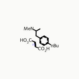 CCCCc1ccc(CC(C)NC)cc1.O=C(O)/C=C/C(=O)O